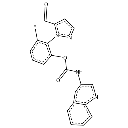 O=Cc1ccnn1-c1c(F)cccc1OC(=O)Nc1cnc2ccccc2c1